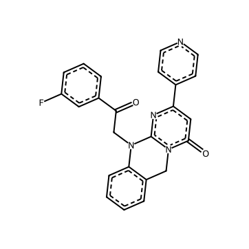 O=C(CN1c2ccccc2Cn2c1nc(-c1ccncc1)cc2=O)c1cccc(F)c1